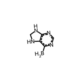 Bc1ncnc2c1NCN2